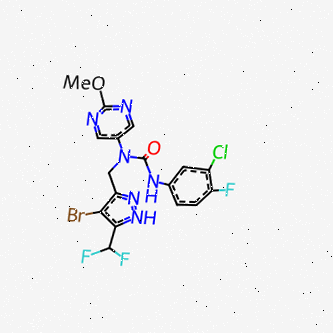 COc1ncc(N(Cc2n[nH]c(C(F)F)c2Br)C(=O)Nc2ccc(F)c(Cl)c2)cn1